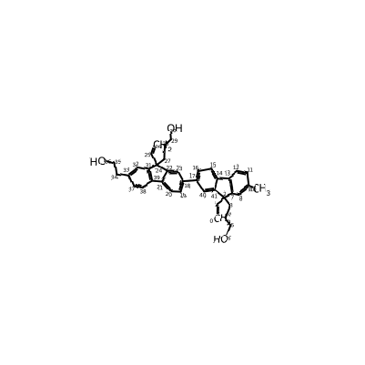 C=CC1(CCCO)c2cc(C)ccc2-c2ccc(-c3ccc4c(c3)C(C=C)(CCCO)c3cc(CCO)ccc3-4)cc21